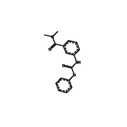 CN(C)C(=O)c1cccc(NC(=O)Oc2ccccc2)c1